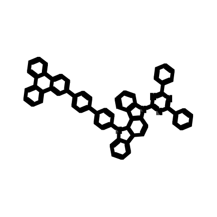 c1ccc2c(c#1)c1c(n2-c2nc(-c3ccccc3)nc(-c3ccccc3)n2)C=CC2c3ccccc3N(c3ccc(-c4ccc(-c5ccc6c7ccccc7c7ccccc7c6c5)cc4)cc3)C12